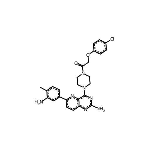 Cc1ccc(-c2ccc3nc(N)nc(N4CCN(C(=O)COc5ccc(Cl)cc5)CC4)c3n2)cc1N